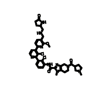 COc1nc(-c2ccnc(-c3cccc(NC(=O)c4nc5c(n4C)CCN(C(=O)C4CCN(C)C4)C5)c3Cl)c2Cl)ccc1CNCC1CCC(=O)N1